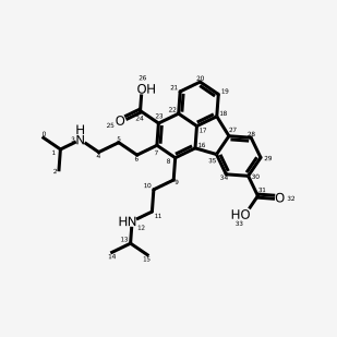 CC(C)NCCCc1c(CCCNC(C)C)c2c3c(cccc3c1C(=O)O)-c1ccc(C(=O)O)cc1-2